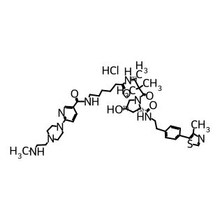 CNCCN1CCN(c2ccc(C(=O)NCCCCCC(=O)N[C@@H](C)C(C)(C)C(=O)N3C[C@H](O)C[C@H]3C(=O)NCCc3ccc(-c4scnc4C)cc3)cn2)CC1.Cl